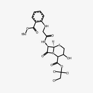 CC(C)(C)OC(=O)c1ccccc1NCC(=O)N[C@@H]1C(=O)N2C(C(=O)OC(Cl)(Cl)CCl)C(O)CS[C@H]12